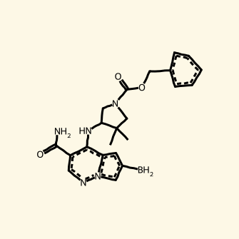 Bc1cc2c(NC3CN(C(=O)OCc4ccccc4)CC3(C)C)c(C(N)=O)cnn2c1